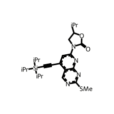 CSc1ncc2c(C#C[Si](C(C)C)(C(C)C)C(C)C)cc(N3CC(C(C)C)OC3=O)nc2n1